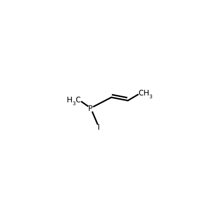 C/C=C/P(C)I